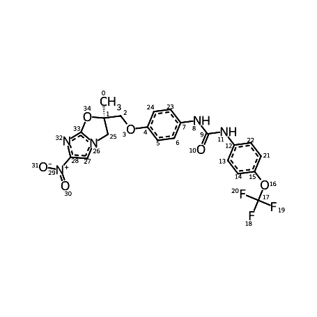 C[C@]1(COc2ccc(NC(=O)Nc3ccc(OC(F)(F)F)cc3)cc2)Cn2cc([N+](=O)[O-])nc2O1